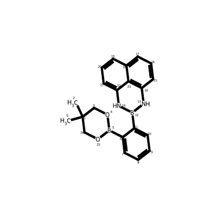 CC1(C)COB(c2ccccc2B2Nc3cccc4cccc(c34)N2)OC1